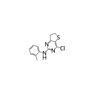 Cc1ccccc1Nc1nc(Cl)c2c(n1)CCS2